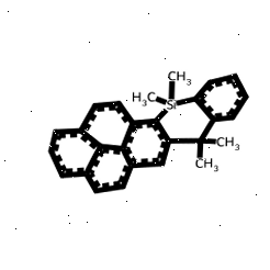 CC1(C)c2ccccc2[Si](C)(C)c2c1cc1ccc3cccc4ccc2c1c34